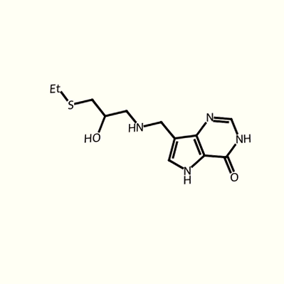 CCSCC(O)CNCc1c[nH]c2c(=O)[nH]cnc12